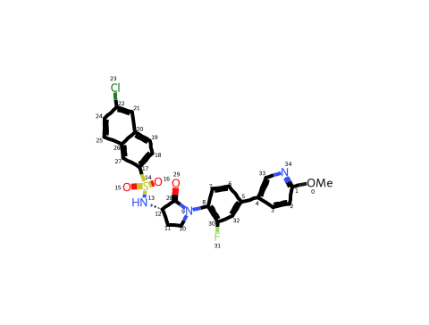 COc1ccc(-c2ccc(N3CC[C@H](NS(=O)(=O)c4ccc5cc(Cl)ccc5c4)C3=O)c(F)c2)cn1